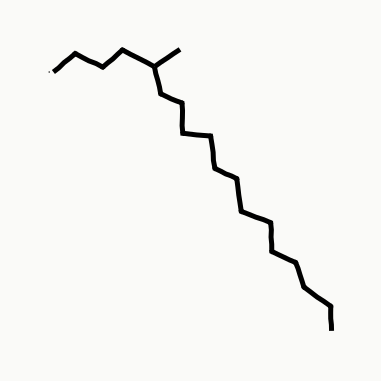 [CH2]CCCC(C)CCCCCCCCCCCCC